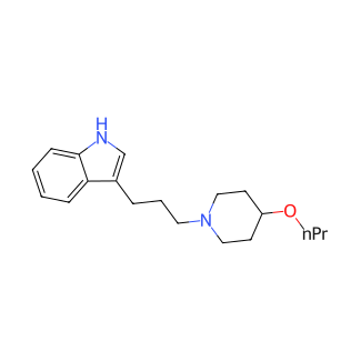 CCCOC1CCN(CCCc2c[nH]c3ccccc23)CC1